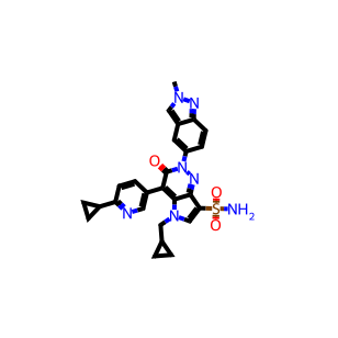 Cn1cc2cc(-n3nc4c(S(N)(=O)=O)cn(CC5CC5)c4c(-c4ccc(C5CC5)nc4)c3=O)ccc2n1